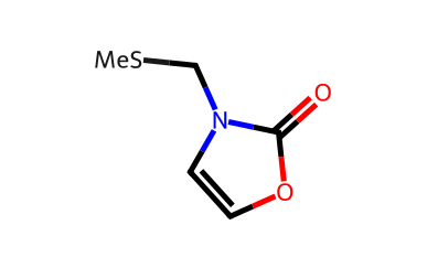 CSCn1ccoc1=O